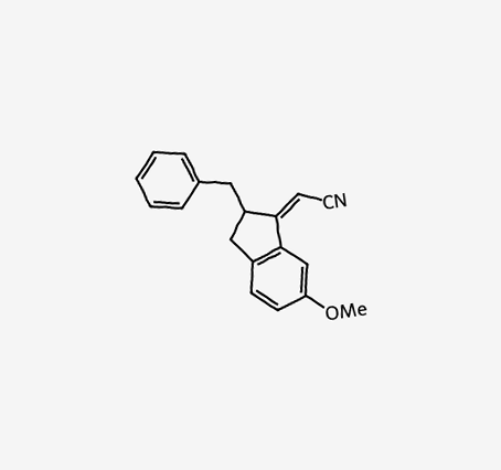 COc1ccc2c(c1)/C(=C\C#N)C(Cc1ccccc1)C2